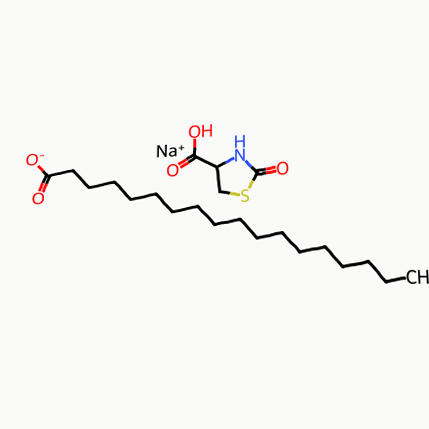 CCCCCCCCCCCCCCCCCC(=O)[O-].O=C1NC(C(=O)O)CS1.[Na+]